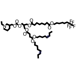 CC/C=C\CCCCOC(CCC(=O)OCC(COC(=O)CCCCCCC(=O)OCCCCCCC(F)(F)C(F)(F)F)COC(=O)OCC1CCCN(CC)C1)OCCCC/C=C\CC